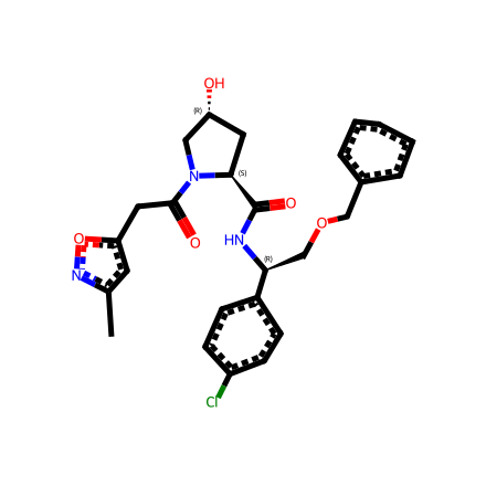 Cc1cc(CC(=O)N2C[C@H](O)C[C@H]2C(=O)N[C@@H](COCc2ccccc2)c2ccc(Cl)cc2)on1